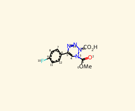 COC(=O)N1C=C(c2ccc(F)cc2)N=NN1C(=O)O